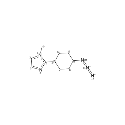 Cn1ccnc1N1CCC(N=[N+]=[N-])CC1